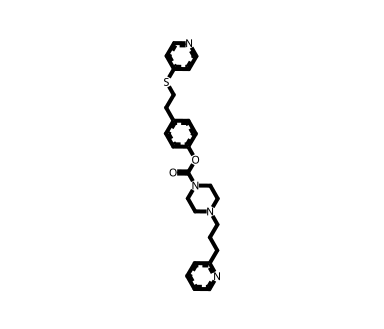 O=C(Oc1ccc(CCSc2ccncc2)cc1)N1CCN(CCCc2ccccn2)CC1